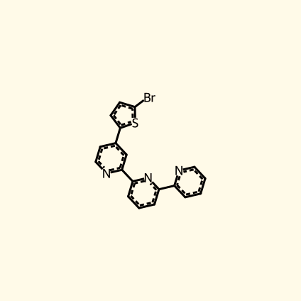 Brc1ccc(-c2ccnc(-c3cccc(-c4ccccn4)n3)c2)s1